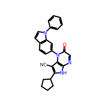 N#Cc1c(C2CCCC2)[nH]c2ncc(=O)n(-c3ccc4ccn(-c5ccccc5)c4c3)c12